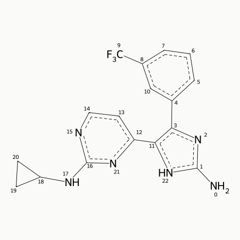 Nc1nc(-c2cccc(C(F)(F)F)c2)c(-c2ccnc(NC3CC3)n2)[nH]1